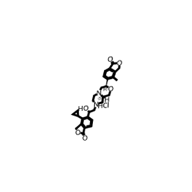 Cc1c([C@@H]2CN3CCN(CC(O)c4ccc5c(c4C4CC4)COC5=O)C[C@H]3CO2)ccc2c1COC2=O.Cl